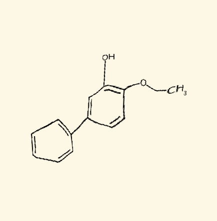 COc1ccc(-c2ccccc2)cc1O